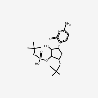 CC(C)(C)C[C@H]1O[C@@H](n2ccc(N)nc2=O)C(O)C1OP(=O)(O)OC(C)(C)C